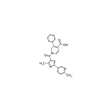 Cc1ccc(-c2nc(C)c(C(=O)N3C=CC(C(=O)O)=C(c4ccccc4)C3)s2)cn1